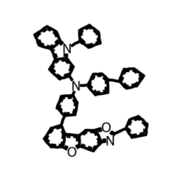 c1ccc(-c2ccc(N(c3ccc(-c4cccc5oc6cc7nc(-c8ccccc8)oc7cc6c45)cc3)c3ccc4c5ccccc5n(-c5ccccc5)c4c3)cc2)cc1